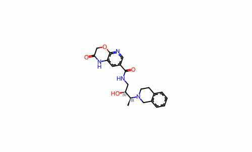 C[C@@H]([C@@H](O)CNC(=O)c1cnc2c(c1)NC(=O)CO2)N1CCc2ccccc2C1